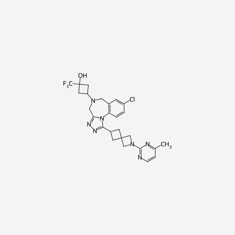 Cc1ccnc(N2CC3(CC(c4nnc5n4-c4ccc(Cl)cc4CN(C4CC(O)(C(F)(F)F)C4)C5)C3)C2)n1